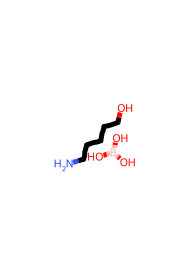 NCCCCCO.OB(O)O